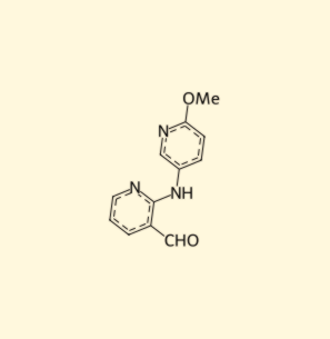 COc1ccc(Nc2ncccc2C=O)cn1